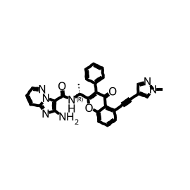 C[C@@H](NC(=O)c1c(N)nc2cccnn12)c1oc2cccc(C#Cc3cnn(C)c3)c2c(=O)c1-c1ccccc1